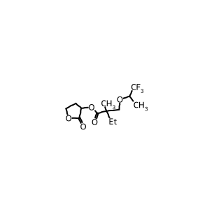 CCC(C)(COC(C)C(F)(F)F)C(=O)OC1CCOC1=O